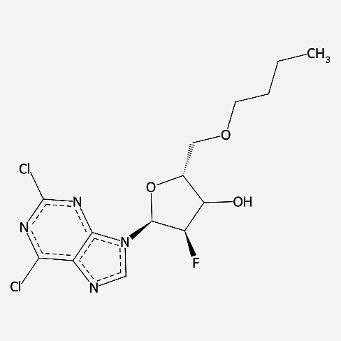 CCCCOC[C@H]1O[C@H](n2cnc3c(Cl)nc(Cl)nc32)[C@H](F)C1O